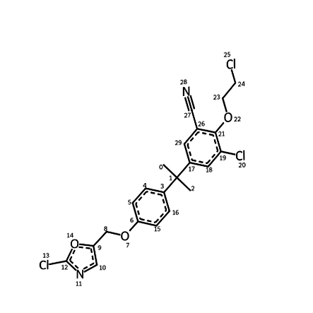 CC(C)(c1ccc(OCc2cnc(Cl)o2)cc1)c1cc(Cl)c(OCCCl)c(C#N)c1